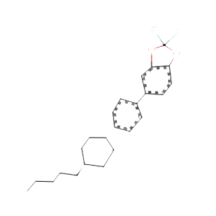 CCCCC[C@H]1CC[C@H](c2ccc(-c3ccc4c(c3)OC(F)(F)O4)cc2)CC1